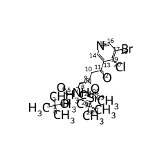 CC(C)(C)OC(=O)NC[C@@H](CC(=O)c1cncc(Br)c1Cl)O[Si](C)(C)C(C)(C)C